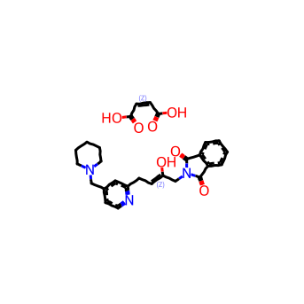 O=C(O)/C=C\C(=O)O.O=C1c2ccccc2C(=O)N1C/C(O)=C/Cc1cc(CN2CCCCC2)ccn1